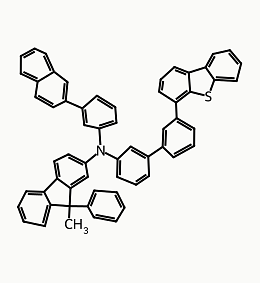 CC1(c2ccccc2)c2ccccc2-c2ccc(N(c3cccc(-c4cccc(-c5cccc6c5sc5ccccc56)c4)c3)c3cccc(-c4ccc5ccccc5c4)c3)cc21